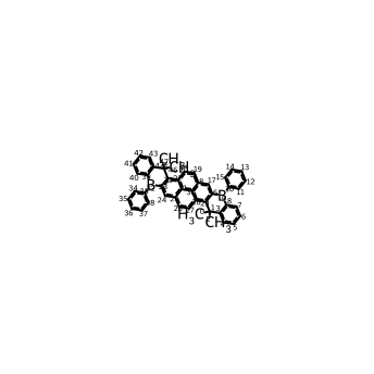 CC1(C)c2ccccc2B(c2ccccc2)c2cc3ccc4c5c(cc6ccc(c21)c3c64)B(c1ccccc1)c1ccccc1C5(C)C